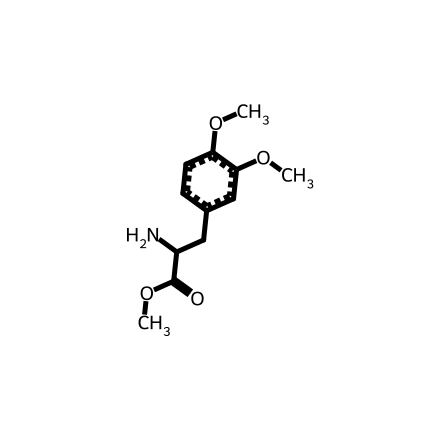 COC(=O)C(N)Cc1ccc(OC)c(OC)c1